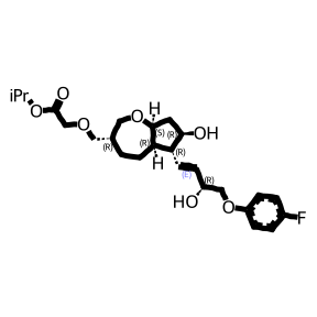 CC(C)OC(=O)COC[C@H]1CC[C@@H]2[C@@H](/C=C/[C@@H](O)COc3ccc(F)cc3)[C@H](O)C[C@@H]2OC1